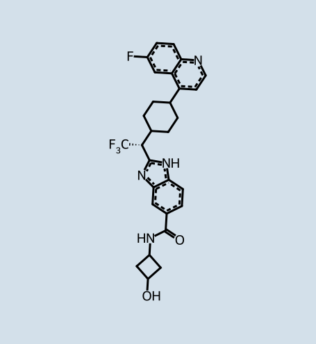 O=C(NC1CC(O)C1)c1ccc2[nH]c([C@@H](C3CCC(c4ccnc5ccc(F)cc45)CC3)C(F)(F)F)nc2c1